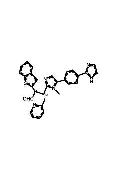 Cn1c(-c2ccc(-c3ncc[nH]3)cc2)cnc1[C@H](Cc1ccccn1)N(C=O)c1cc2ccccc2s1